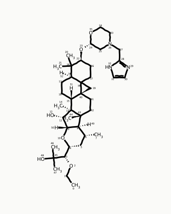 CCO[C@@H]([C@H]1C[C@@H](C)[C@H]2[C@H](O1)[C@H](O)[C@@]1(C)[C@@H]3CC[C@H]4C(C)(C)[C@@H](O[C@H]5CN(Cc6ncc[nH]6)CCO5)CCC45C[C@@]35CC[C@]21C)C(C)(C)O